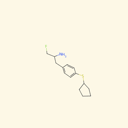 NC(CF)Cc1ccc(SC2CCCC2)cc1